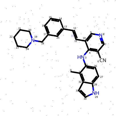 Cc1c(Nc2c(C#N)cncc2/C=C/c2cccc(CN3CCCCC3)c2)ccc2[nH]ccc12